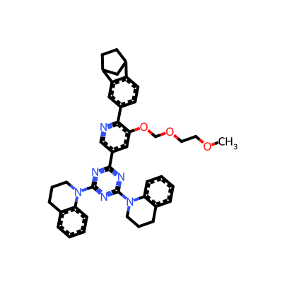 COCCOCOc1cc(-c2nc(N3CCCc4ccccc43)nc(N3CCCc4ccccc43)n2)cnc1-c1ccc2c(c1)C1CCC2C1